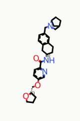 O=C(N[C@H]1CCc2cc(CN3CC4CCC3C4)ccc2C1)c1ccc(OC[C@@H]2CCCO2)cn1